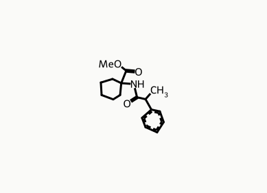 COC(=O)C1(NC(=O)C(C)c2ccccc2)CCCCC1